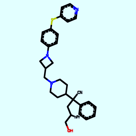 CCCC(CO)CC(C#N)(c1ccccc1)C1CCN(CC2CN(c3ccc(Sc4ccncc4)cc3)C2)CC1